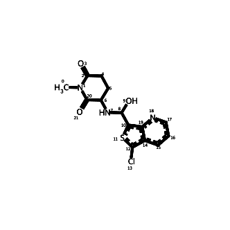 CN1C(=O)CCC(NC(O)c2sc(Cl)c3cccnc23)C1=O